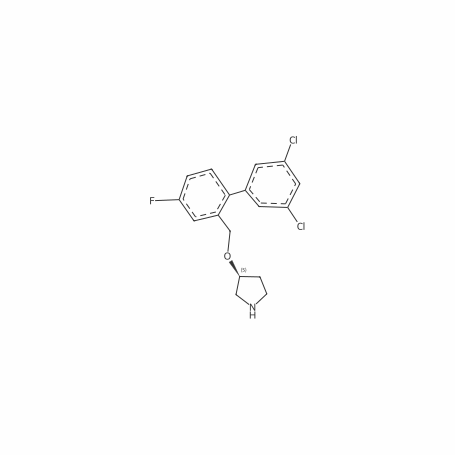 Fc1ccc(-c2cc(Cl)cc(Cl)c2)c(CO[C@H]2CCNC2)c1